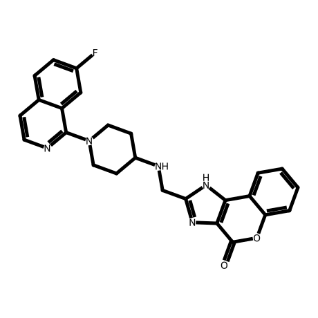 O=c1oc2ccccc2c2[nH]c(CNC3CCN(c4nccc5ccc(F)cc45)CC3)nc12